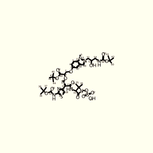 C[n+]1c2ccc(OCC(O/N=C(\C(=O)NC3C(=O)N(OS(=O)(=O)O)C3(C)C)c3csc(NC(=O)OC(C)(C)C)n3)C(=O)OC(C)(C)C)cc2cn1CC(O)CNC(=O)OC(C)(C)C